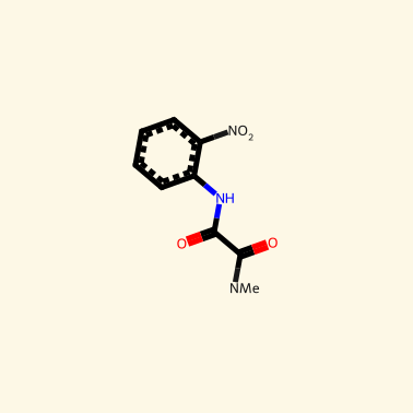 CNC(=O)C(=O)Nc1ccccc1[N+](=O)[O-]